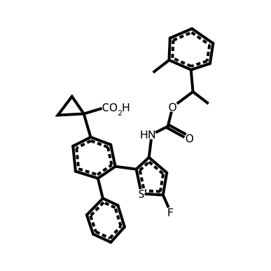 Cc1ccccc1C(C)OC(=O)Nc1cc(F)sc1-c1cc(C2(C(=O)O)CC2)ccc1-c1ccccc1